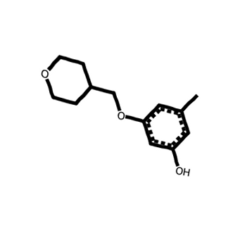 Cc1cc(O)cc(OCC2CCOCC2)c1